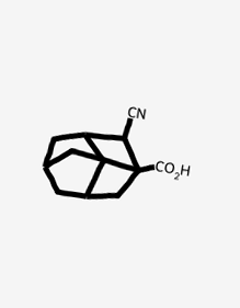 N#CC1C2CC3CC(C2)CC1(C(=O)O)C3